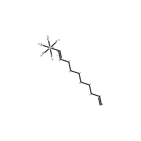 C=CCCCCCC/C=C/S(F)(F)(F)(F)F